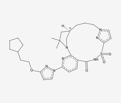 CC1(C)C[C@H]2CCCn3ccc(n3)S(=O)(=O)NC(=O)c3ccc(-n4ccc(OCCC5CCCC5)n4)nc3N1C2